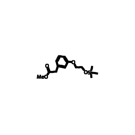 COC(=O)Cc1cccc(OCCO[Si](C)(C)C)c1